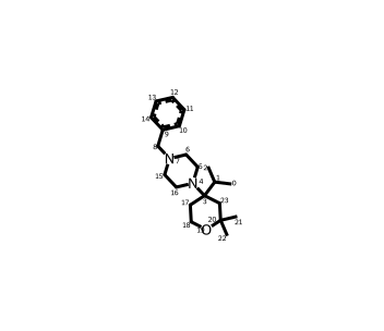 CC(C)C1(N2CCN(Cc3ccccc3)CC2)CCOC(C)(C)C1